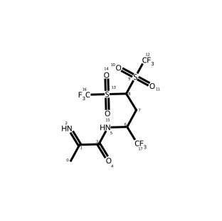 CC(=N)C(=O)NC(CC(S(=O)(=O)C(F)(F)F)S(=O)(=O)C(F)(F)F)C(F)(F)F